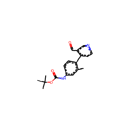 Cc1cc(NC(=O)OC(C)(C)C)ccc1-c1ccncc1C=O